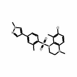 Cc1cc(-c2cnn(C)c2)ccc1S(=O)(=O)N1CCN(C)c2ccc(Cl)c(C)c21